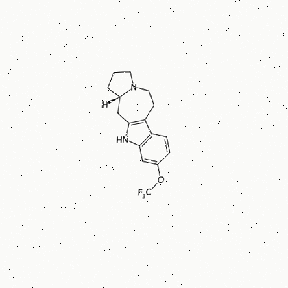 FC(F)(F)Oc1ccc2c3c([nH]c2c1)C[C@@H]1CCCN1CC3